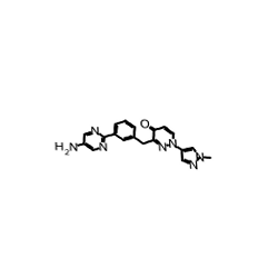 Cn1cc(-n2ccc(=O)c(Cc3cccc(-c4ncc(N)cn4)c3)n2)cn1